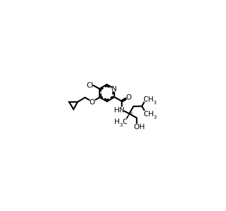 CC(C)C[C@](C)(CO)NC(=O)c1cc(OCC2CC2)c(Cl)cn1